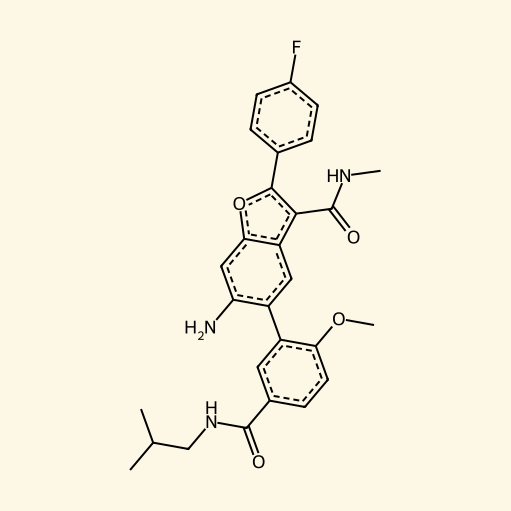 CNC(=O)c1c(-c2ccc(F)cc2)oc2cc(N)c(-c3cc(C(=O)NCC(C)C)ccc3OC)cc12